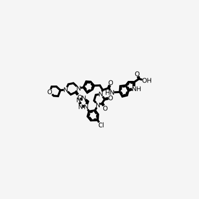 O=C(O)c1cc2cc(NC(=O)C(Cc3ccc(N4CCN(C5CCOCC5)CC4=O)cc3)N3CCN(c4cc(Cl)ccc4-n4cnnn4)C(=O)C3=O)ccc2[nH]1